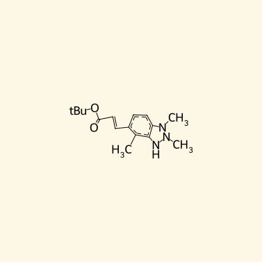 Cc1c(/C=C/C(=O)OC(C)(C)C)ccc2c1NN(C)N2C